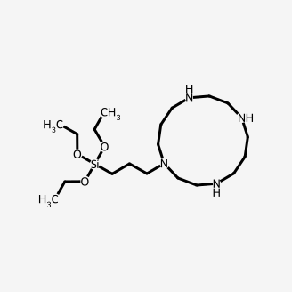 CCO[Si](CCCN1CCCNCCNCCCNCC1)(OCC)OCC